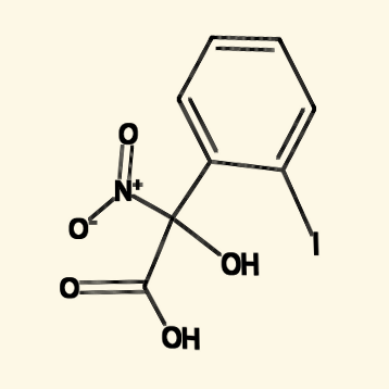 O=C(O)C(O)(c1ccccc1I)[N+](=O)[O-]